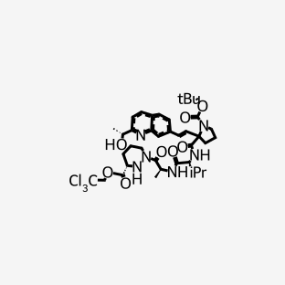 CC(C)[C@H](NC(=O)C1(/C=C/c2ccc3ccc([C@@H](C)O)nc3c2)CCCN1C(=O)OC(C)(C)C)C(=O)N[C@@H](C)C(=O)N1CCC[C@@H](C(=O)OCC(Cl)(Cl)Cl)N1